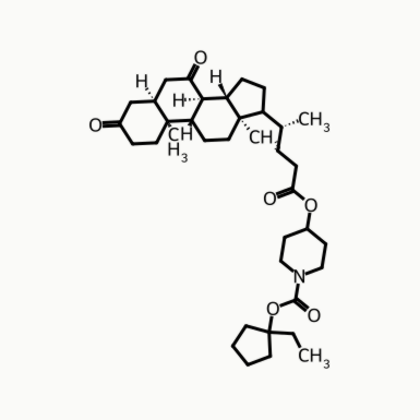 CCC1(OC(=O)N2CCC(OC(=O)CC[C@@H](C)C3CC[C@H]4[C@@H]5C(=O)C[C@@H]6CC(=O)CC[C@]6(C)[C@H]5CC[C@]34C)CC2)CCCC1